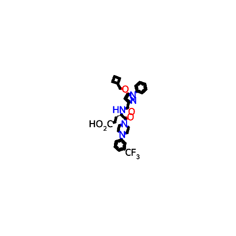 O=C(O)CC[C@H](NC(=O)c1cc(OCC2CCC2)n(-c2ccccc2)n1)C(=O)N1CCN(c2cccc(C(F)(F)F)c2)CC1